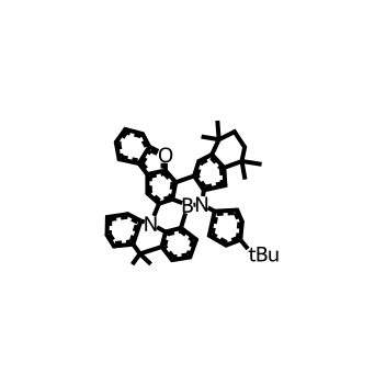 CC(C)(C)c1ccc(N2B3c4cccc5c4N(c4ccccc4C5(C)C)c4cc5c(oc6ccccc65)c(c43)-c3cc4c(cc32)C(C)(C)CCC4(C)C)cc1